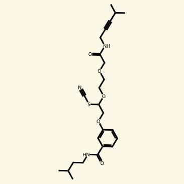 CC(C)C#CCNC(=O)COCCOC(COc1cccc(C(=O)NCCC(C)C)c1)SC#N